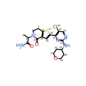 CC(C(N)=O)N1CCc2sc(-c3nc(NC4CCOCC4)ncc3Cl)cc2C1=O